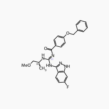 COC[C@H](C)N/C(=N\C(=O)c1ccc(OCc2ccccc2)cc1)Nc1n[nH]c2cc(F)ccc12